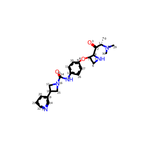 C[C@@H](C(=O)C1NCC1Oc1ccc(NC(=O)N2CC(c3cccnc3)C2)cc1)N(C)C